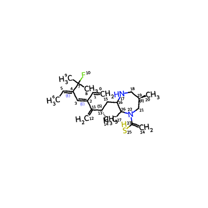 C=C/C(=C\C(=C/C)C(C)(C)F)C(=C)[C@@H](C)CC1NC[C@@H](C)CN(C(=C)S)C1C